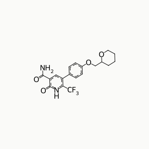 NC(=O)c1cc(-c2ccc(OCC3CCCCO3)cc2)c(C(F)(F)F)[nH]c1=O